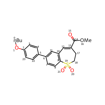 CCCCOc1ccc(-c2ccc3c(c2)C=C(C(=O)OC)CCS3(=O)=O)cc1